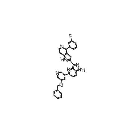 Fc1cccc(-c2nccc3[nH]c(-c4n[nH]c5ccc(-c6cncc(OCc7ccccc7)c6)nc45)cc23)c1